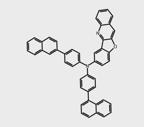 c1ccc2cc(-c3ccc(N(c4ccc(-c5cccc6ccccc56)cc4)c4ccc5oc6cc7ccccc7nc6c5c4)cc3)ccc2c1